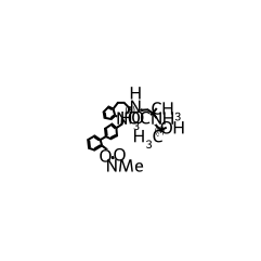 CNC(=O)OCc1ccccc1-c1ccc(CN2C(=O)[C@H](NC(=O)CC(C)(C)NC[C@@H](C)O)CCc3ccccc32)cc1